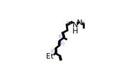 C=C\C(=C/C=C/C(C)=C/C/C=C\N/N=C\C)CC